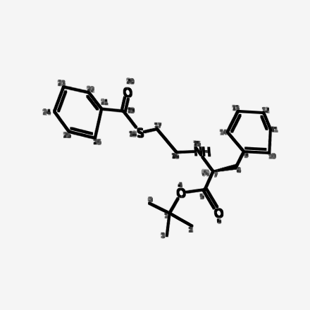 CC(C)(C)OC(=O)[C@H](Cc1ccccc1)NCCSC(=O)c1ccccc1